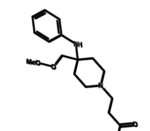 COOCC1(Nc2ccccc2)CCN(CCC(=O)OC)CC1